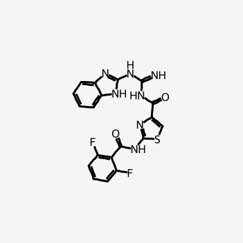 N=C(NC(=O)c1csc(NC(=O)c2c(F)cccc2F)n1)Nc1nc2ccccc2[nH]1